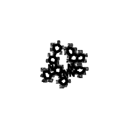 c1ccc(-c2ccc3c(c2)c2cc4c(c5ccccc5n4-c4nc(-c5cc6ccccc6c6ccccc56)c5ccccc5n4)c4c5ccccc5n3c24)cc1